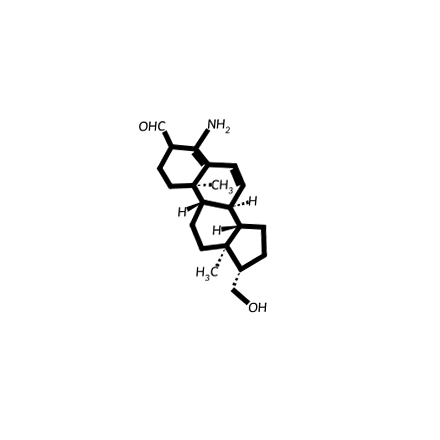 C[C@]12CC[C@H]3[C@@H](C=CC4=C(N)C(C=O)CC[C@@]43C)[C@@H]1CC[C@@H]2CO